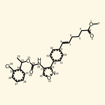 COC(=O)CCCC=Cc1ccc(-c2nocc2NC(=O)OC(C)c2ccccc2Cl)cc1